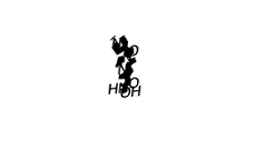 CC1c2cc(C(=O)NO)cn2CCN1C(=O)C1CCN(C)CC1